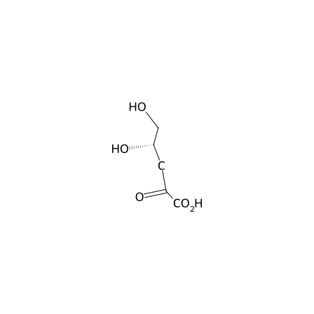 O=C(O)C(=O)C[C@H](O)CO